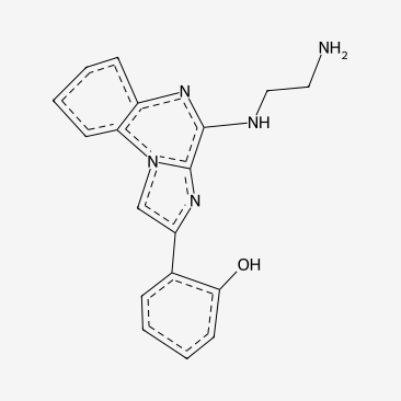 NCCNc1nc2ccccc2n2cc(-c3ccccc3O)nc12